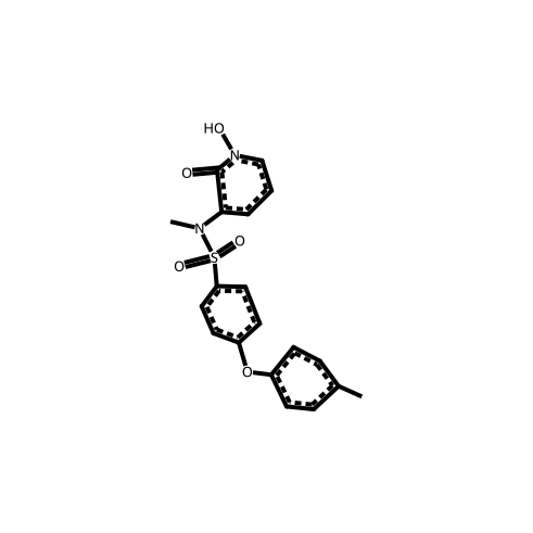 Cc1ccc(Oc2ccc(S(=O)(=O)N(C)c3cccn(O)c3=O)cc2)cc1